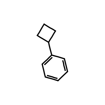 c1ccc(C2CCC2)cc1